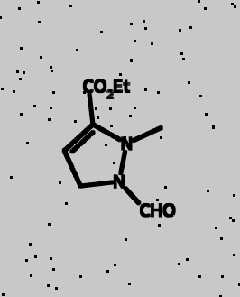 CCOC(=O)C1=CCN(C=O)N1C